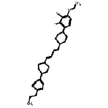 CCCc1ccc(C2CCC(C=CCCC3CCC(c4ccc(OCC)c(F)c4F)CC3)CC2)cc1